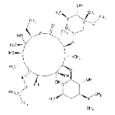 CC[C@H]1OC(=O)[C@H](C)[C@@H](O[C@H]2C[C@@](C)(OC)[C@@H](O)[C@H](C)O2)[C@H](C)[C@@H](O[C@@H]2O[C@H](C)C[C@H](N(C)C)[C@H]2O)[C@](C)(O)C[C@@H](C)/C(=N\OC(C)=O)[C@H](C)[C@@H](O)[C@]1(C)O